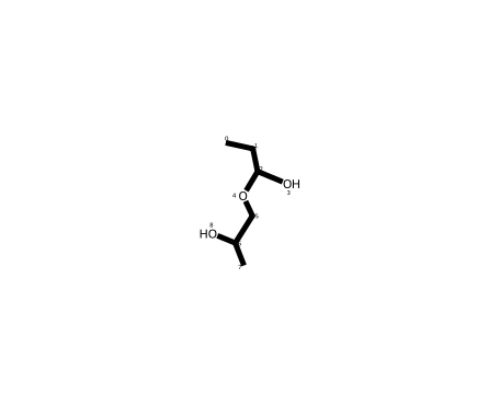 CCC(O)OCC(C)O